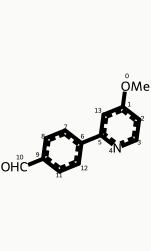 COc1ccnc(-c2ccc(C=O)cc2)c1